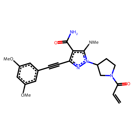 C=CC(=O)N1CCC(n2nc(C#Cc3cc(OC)cc(OC)c3)c(C(N)=O)c2NC)C1